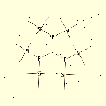 C[Si](C)(C)P(C(P([Si](C)(C)C)[Si](C)(C)C)P([Si](C)(C)C)[Si](C)(C)C)[Si](C)(C)C